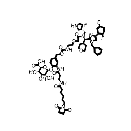 O=C(CCCCCN1C(=O)C=CC1=O)NCCC(=O)Nc1cc(COC(=O)NCCSCC(=O)N(C[C@@H]2CNC[C@@H]2F)[C@@H](c2nc(-c3cc(F)ccc3F)cn2Cc2ccccc2)C2CCOCC2)ccc1O[C@H]1O[C@@H](C(=O)O)[C@@H](O)[C@H](O)[C@H]1O